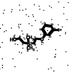 C[N+](C)(CCO)CCOc1cccc(I)c1